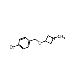 CCc1ccc(COC2CN(C)C2)cc1